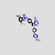 Cc1ccc(C)c2c1nc(Nc1ccc(-c3cn([C@H]4CC[C@@H](N5CCN(C)CC5)CC4)c4ncnc(N)c34)cc1)n2C